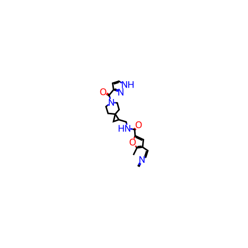 C=N/C=C\c1cc(C(=O)NCC2CC23CCN(C(=O)c2cc[nH]n2)CC3)oc1C